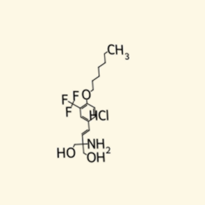 CCCCCCCOc1ccc(C=CC(N)(CO)CO)cc1C(F)(F)F.Cl